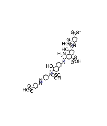 Nc1c(/N=N/c2ccc3c(O)c(/N=N/c4ccc(/N=N/c5ccc(S(=O)(=O)O)cc5)cc4)c(S(=O)(=O)O)cc3c2)cc(S(=O)(=O)O)c2ccc(/N=N/c3ccc([N+](=O)[O-])cc3S(=O)(=O)O)c(O)c12